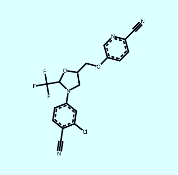 N#Cc1ccc(OCC2CN(c3ccc(C#N)c(Cl)c3)C(C(F)(F)F)O2)cn1